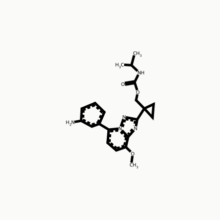 COc1ccc(-c2cccc(N)c2)n2nc(C3(COC(=O)NC(C)C)CC3)nc12